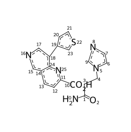 NC(=O)CCn1ccnc1.O=C(O)c1ccc2cncc(-c3ccsc3)c2n1